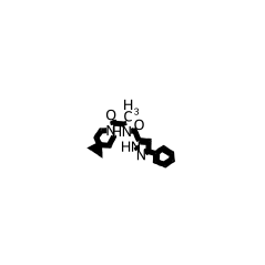 C[C@H](NC(=O)c1cc(-c2ccccc2)n[nH]1)C(=O)N1CCC2(CC1)CC2